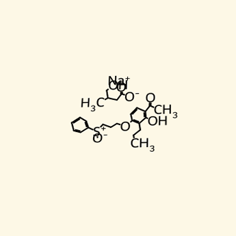 CC(CO)CC(=O)[O-].CCCc1c(OCCC[S+]([O-])c2ccccc2)ccc(C(C)=O)c1O.[Na+]